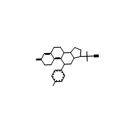 C#CC(F)(F)[C@]1(O)CCC2C3CCC4=CC(=O)CCC4=C3C(c3ccc(CCCCCCC)cc3)C[C@@]21C